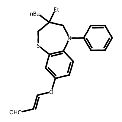 CCCCC1(CC)CSc2cc(O/C=C/C=O)ccc2N(c2ccccc2)C1